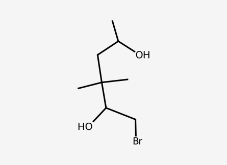 CC(O)CC(C)(C)C(O)CBr